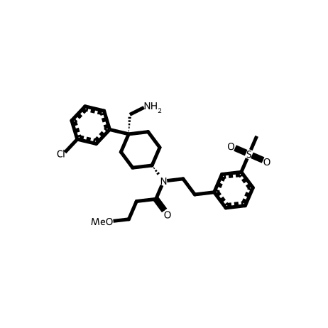 COCCC(=O)N(CCc1cccc(S(C)(=O)=O)c1)[C@H]1CC[C@](CN)(c2cccc(Cl)c2)CC1